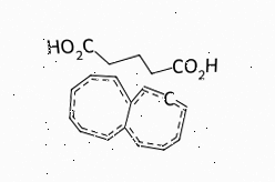 O=C(O)CCCC(=O)O.c1cccc2ccccccc-2cc1